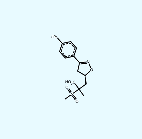 CCCc1ccc(C2=NO[C@@H](CC(C)(C(=O)O)S(C)(=O)=O)C2)cc1